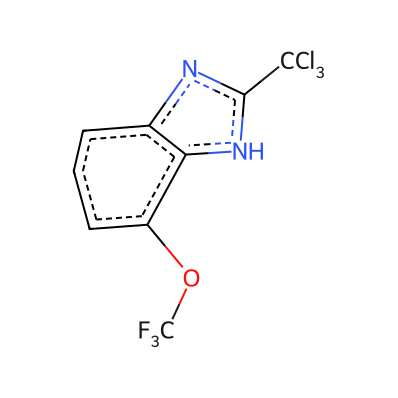 FC(F)(F)Oc1cccc2nc(C(Cl)(Cl)Cl)[nH]c12